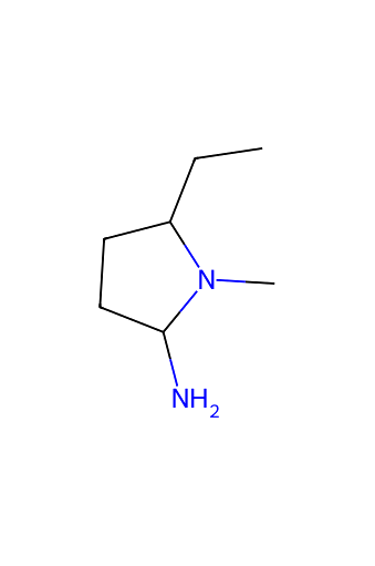 CCC1CCC(N)N1C